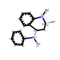 CC(=O)N1c2ccccc2[C@@H](N(C(C)=O)c2ccccc2)C[C@H]1C